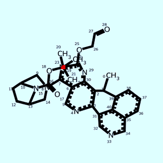 CC1c2c(ncc3c(N4CC5CCC(C4)N5C(=O)OC(C)(C)C)nc(OCC=O)nc23)-c2cncc3cccc1c23